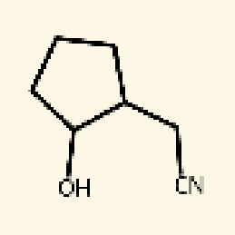 N#CCC1CCCC1O